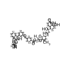 Cc1cc(CNC[C@H](O)c2ccc(O)c3[nH]c(=O)ccc23)cc(C)c1OCCOC(=O)c1ccc(COc2cccc([C@@H](NC(=O)O[C@H]3CN4CCC3CC4)c3ccccc3)c2)cc1